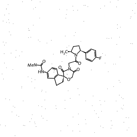 CNC(=O)Nc1ccc2c(c1)CC[C@@]21OCC(=O)N(CC(=O)N2[C@@H](C)CC[C@H]2c2ccc(F)cc2)C1=O